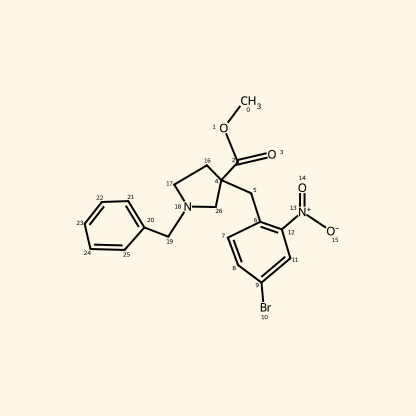 COC(=O)C1(Cc2ccc(Br)cc2[N+](=O)[O-])CCN(Cc2ccccc2)C1